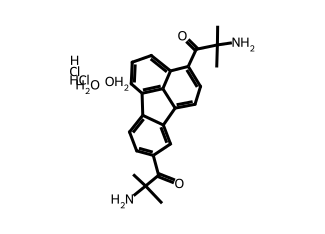 CC(C)(N)C(=O)c1ccc2c(c1)-c1ccc(C(=O)C(C)(C)N)c3cccc-2c13.Cl.Cl.O.O